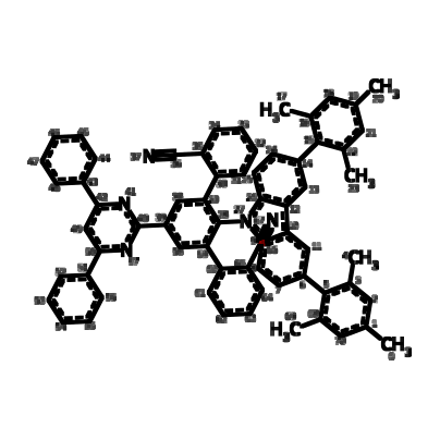 Cc1cc(C)c(-c2ccc3c(c2)c2cc(-c4c(C)cc(C)cc4C)ccc2n3-c2c(-c3ccccc3C#N)cc(-c3nc(-c4ccccc4)cc(-c4ccccc4)n3)cc2-c2ccccc2C#N)c(C)c1